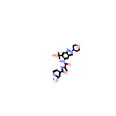 CC(C)(O)c1cc2nn(C3CCOCC3)cc2cc1NC(=O)c1coc(-c2ccnc(C(F)(F)F)c2)n1